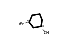 CC(C)[C@@H]1CCC[C@H](C#N)C1